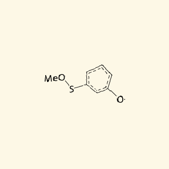 COSc1cccc([O])c1